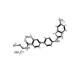 COc1cc(-c2ccc(Nc3nc4ccc([N+](=O)[O-])cc4s3)cc2)ccc1C(=O)N[C@@H](CC(C)C)C(=O)O